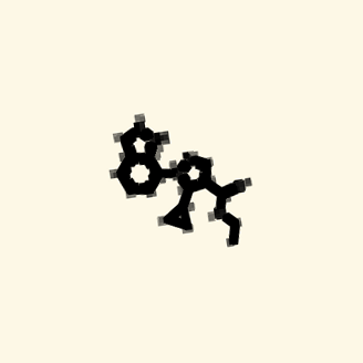 CCOC(=O)c1cnn(-c2cccc3cn[nH]c23)c1C1CC1